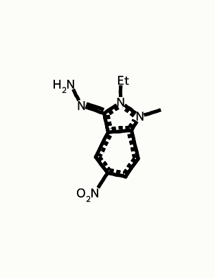 CCn1c(=NN)c2cc([N+](=O)[O-])ccc2n1C